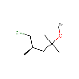 CC(C)OC(C)(C)C[C@@H](C)CCl